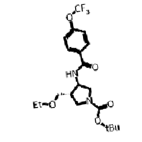 CCOC[C@H]1CN(C(=O)OC(C)(C)C)C[C@@H]1NC(=O)c1ccc(OC(F)(F)F)cc1